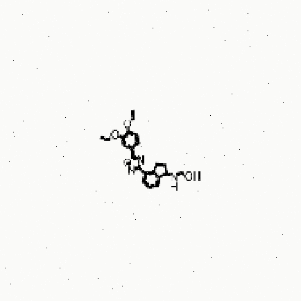 CCOc1ccc(-c2nc(-c3cccc4c3CCC4NCO)no2)cc1OCC